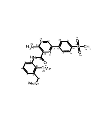 CNCc1cccc(NC(=O)c2nc(-c3ccc(S(C)(=O)=O)cc3)cnc2N)c1OC